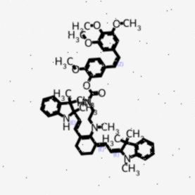 COc1ccc(/C=C\c2cc(OC)c(OC)c(OC)c2)cc1OC(=O)NCCN(C)C1=C(/C=C/C2(C)Nc3ccccc3C2(C)C)CCC/C1=C\C=C1\N(C)c2ccccc2C1(C)C